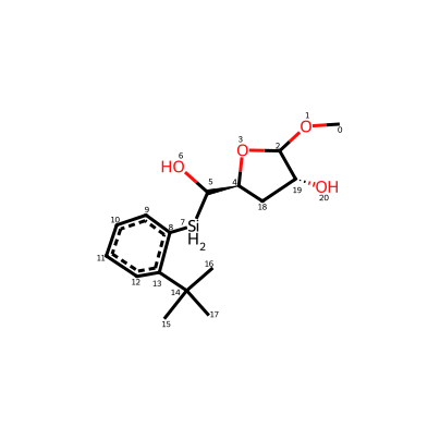 COC1O[C@H](C(O)[SiH2]c2ccccc2C(C)(C)C)C[C@H]1O